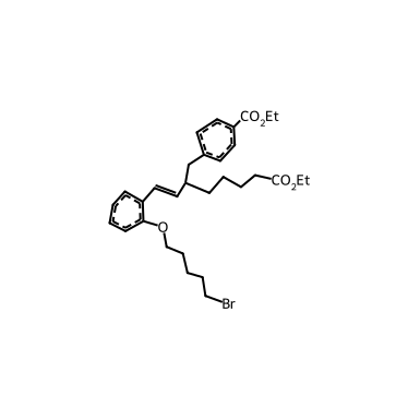 CCOC(=O)CCCCC(/C=C/c1ccccc1OCCCCCBr)Cc1ccc(C(=O)OCC)cc1